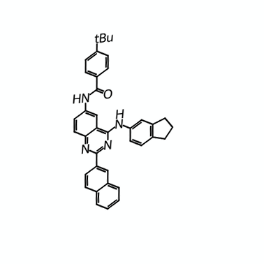 CC(C)(C)c1ccc(C(=O)Nc2ccc3nc(-c4ccc5ccccc5c4)nc(Nc4ccc5c(c4)CCC5)c3c2)cc1